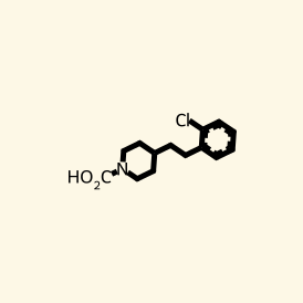 O=C(O)N1CCC(CCc2ccccc2Cl)CC1